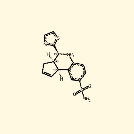 NS(=O)(=O)c1ccc2c(c1)[C@H]1C=CC[C@H]1[C@@H](c1nccs1)N2